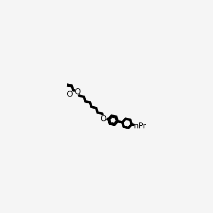 C=CC(=O)OCCCCCCCCOc1ccc(C2CCC(CCC)CC2)cc1